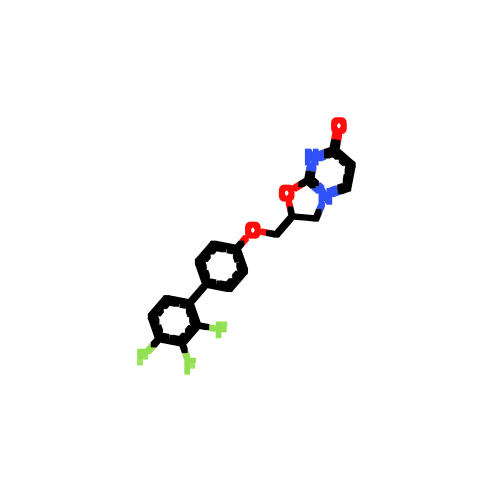 O=c1ccn2c(n1)OC(COc1ccc(-c3ccc(F)c(F)c3F)cc1)C2